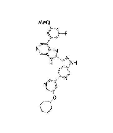 COc1cc(F)cc(-c2cncc3[nH]c(-c4n[nH]c5cnc(-c6cncc(OC7CCCCC7)c6)cc45)nc23)c1